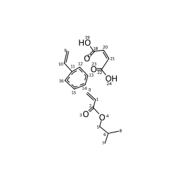 C=CC(=O)OCC(C)C.C=Cc1ccccc1.O=C(O)/C=C\C(=O)O